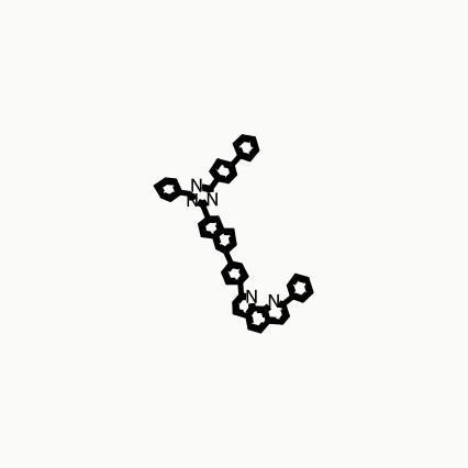 c1ccc(-c2ccc(-c3nc(-c4ccccc4)nc(-c4ccc5cc(-c6ccc(-c7ccc8ccc9ccc(-c%10ccccc%10)nc9c8n7)cc6)ccc5c4)n3)cc2)cc1